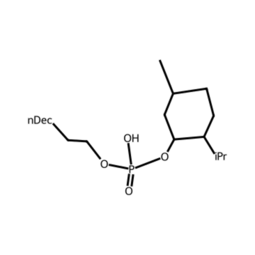 CCCCCCCCCCCCOP(=O)(O)OC1CC(C)CCC1C(C)C